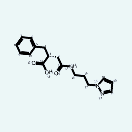 O=C(C[C@@H](Cc1ccccc1)C(=O)O)NCCCn1cccn1